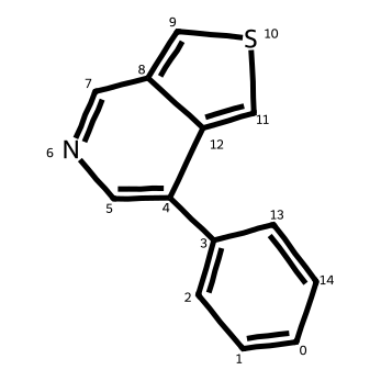 c1ccc(-c2cncc3cscc23)cc1